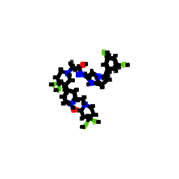 C[C@@H](C(=O)Nc1cn2c(n1)CC[C@@H]2c1cc(F)cc(F)c1)N1CCC(F)(F)C(c2cc[n+]([O-])c(CN3CCC(F)(F)CC3)c2)C1